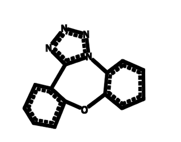 c1ccc2c(c1)Oc1ccccc1-n1nnnc1-2